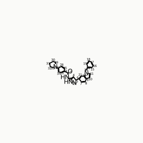 O=C(Nc1cc(-c2ccc3ccn(Cc4ccccc4)c3c2)n[nH]1)c1ccc(N2CCCCC2)cc1